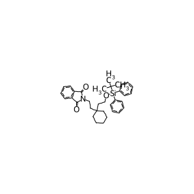 CC(C)(C)[Si](OCCC1(CCN2C(=O)c3ccccc3C2=O)CCCCC1)(c1ccccc1)c1ccccc1